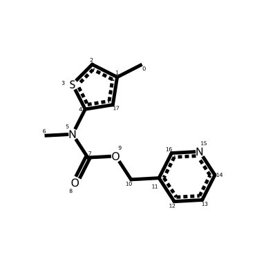 Cc1csc(N(C)C(=O)OCc2cccnc2)c1